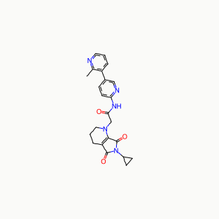 Cc1ncccc1-c1ccc(NC(=O)CN2CCCC3=C2C(=O)N(C2CC2)C3=O)nc1